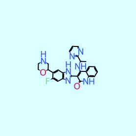 CC(Nc1c(-c2nc3cc(F)c(C4CNCCO4)cc3[nH]2)c(=O)[nH]c2ccccc12)c1ncccn1